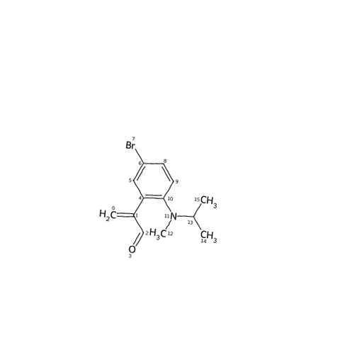 C=C(C=O)c1cc(Br)ccc1N(C)C(C)C